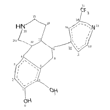 Oc1ccc2c(c1O)CC(c1ccnc(C(F)(F)F)c1)C1CCNCC21